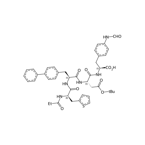 CCC(=O)N[C@H](Cc1cccs1)C(=O)N[C@@H](Cc1ccc(-c2ccccc2)cc1)C(=O)N[C@@H](CC(=O)OC(C)(C)C)C(=O)N[C@@H](Cc1ccc(NC=O)cc1)C(=O)O